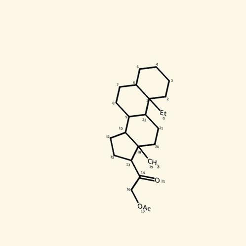 CCC12CCCCC1CCC1C3CCC(C(=O)COC(C)=O)C3(C)CCC12